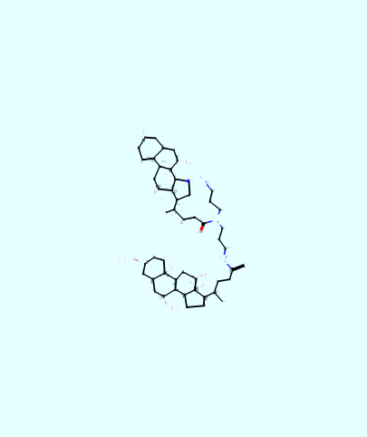 C=C(CCC(C)C1CCC2C3C(C[C@@H](O)[C@]12C)[C@@]1(C)CC[C@H](O)CC1C[C@@H]3O)NCCCN(CCCN)C(=O)CCC(C)C1CCC2C3C(C[C@@H](O)[C@]12C)[C@@]1(C)CC[C@H](O)CC1C[C@@H]3O